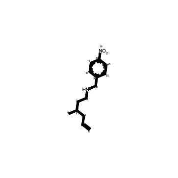 C=CCC(C)CCNCc1ccc([N+](=O)[O-])cc1